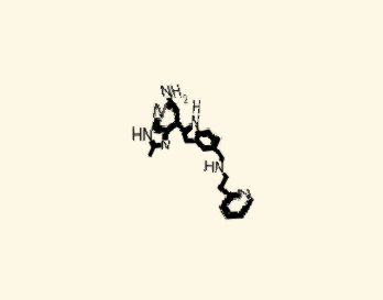 Cc1nc2c(-c3cc4cc(CNCCc5ccccn5)ccc4[nH]3)cc(N)nc2[nH]1